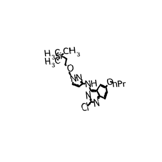 CCCOc1ccc2nc(Cl)nc(Nc3ccn(COCC[Si](C)(C)C)n3)c2c1